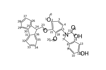 COc1ccc(N(Cc2ccc(O)cc2)C(=O)O)c(OC)c1OCC1c2ccccc2-c2ccccc21